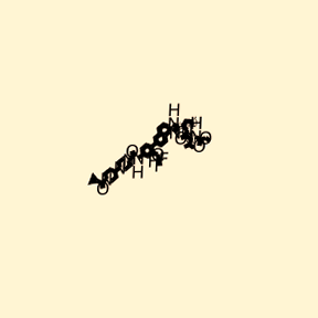 COC(=O)N[C@H](C(=O)N1C[C@@H](C)C[C@H]1c1nc2c(ccc3cc(-c4ccc(NC(=O)N5CCN(C6CCN(C(=O)C7CC7)CC6)CC5)cc4OC(F)(F)F)ccc32)[nH]1)C(C)C